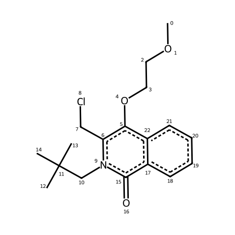 COCCOc1c(CCl)n(CC(C)(C)C)c(=O)c2ccccc12